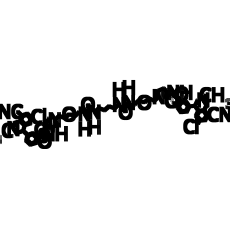 CN1Cc2c(C#N)cc(Cl)cc2C(c2cccc(S(=O)(=O)N[C@@H]3CCN(CCOCCNC(=O)NCCCCNC(=O)NCCOCCN4CC[C@@H](NS(=O)(=O)c5cccc(C6CN(C)Cc7c(C#N)cc(Cl)cc76)c5)C4)C3)c2)C1